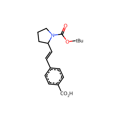 CC(C)(C)OC(=O)N1CCCC1C=Cc1ccc(C(=O)O)cc1